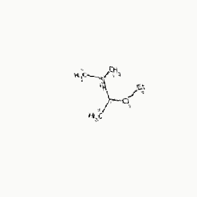 CCOC(C)[SiH](C)C